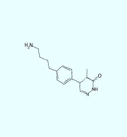 CC1C(=O)NN=CC1c1ccc(CCCCN)cc1